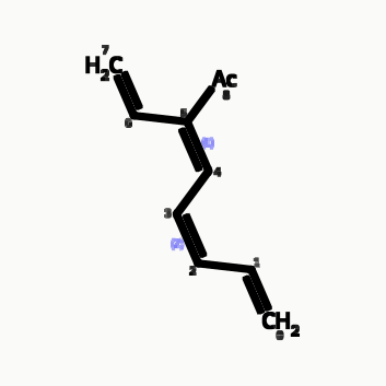 C=C/C=C\C=C(/C=C)C(C)=O